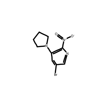 O=[N+]([O-])c1ncc(Br)cc1N1CCCC1